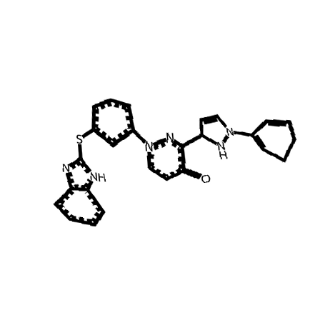 O=c1ccn(-c2cccc(Sc3nc4ccccc4[nH]3)c2)nc1C1C=CN(C2=CCCC=C2)N1